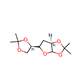 CC1(C)OC[C@H](C2C[C@H]3OC(C)(C)OC3O2)O1